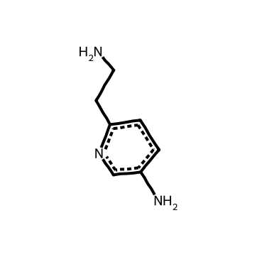 NCCc1ccc(N)cn1